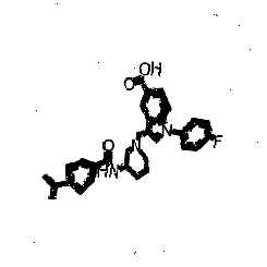 CC(C)c1ccc(C(=O)NC2CCCN(Cc3cn(-c4ccc(F)cc4)c4ccc(C(=O)O)cc34)C2)cc1